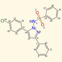 O=S(=O)(Nn1nc(-c2ccccc2)cc1-c1ccc(Cl)cc1)c1ccccc1